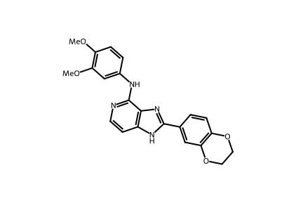 COc1ccc(Nc2nccc3[nH]c(-c4ccc5c(c4)OCCO5)nc23)cc1OC